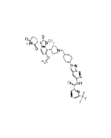 COc1ccc2c(c1C1CCN(CC3CCC(n4cc5cc(NC(=O)c6cccc(C(F)(F)F)n6)ncc5n4)CC3)CC1)n(C)c(=O)n2[C@H]1CCC(=O)NC1=O